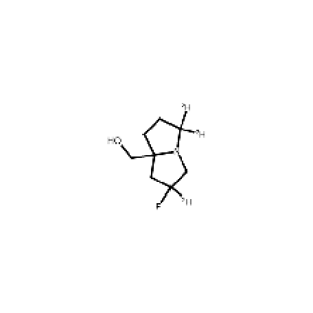 [2H]C1(F)CN2C([2H])([2H])CCC2(CO)C1